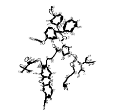 COc1ccc(C(OC[C@@H]2C[C@@H](OP(OCCC#N)N(C(C)C)C(C)C)CN2C(=O)CCc2cc3nc4ccc(=O)cc-4oc3cc2OC(=O)C(C)(C)C)(c2ccccc2)c2ccc(OC)cc2)cc1